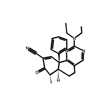 CCN(CC)c1ncc2c(n1)[C@@]1(c3ccccc3)C=C(C#N)C(=O)[C@@H](C)[C@@H]1CC2